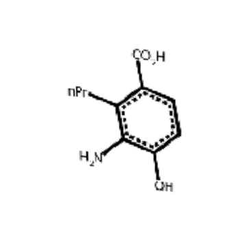 CCCc1c(C(=O)O)ccc(O)c1N